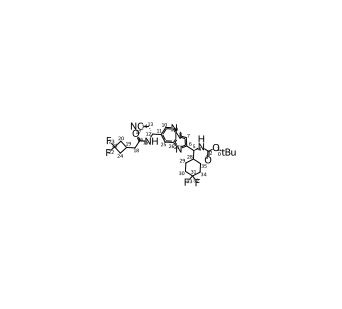 CC(C)(C)OC(=O)N[C@H](c1cn2ncc([C@@H](CC#N)NC(=O)CC3CC(F)(F)C3)cc2n1)C1CCC(F)(F)CC1